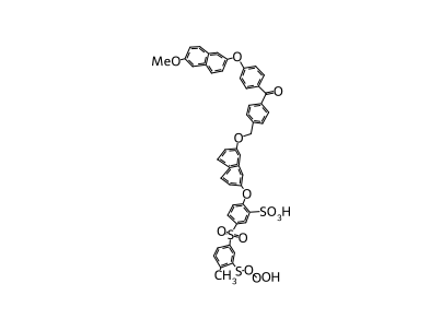 COc1ccc2cc(Oc3ccc(C(=O)c4ccc(COc5ccc6ccc(Oc7ccc(S(=O)(=O)c8ccc(C)c(SOOO)c8)cc7S(=O)(=O)O)cc6c5)cc4)cc3)ccc2c1